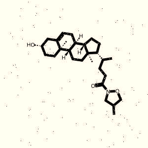 CC1CON(C(=O)CCC(C)[C@H]2CC[C@H]3[C@@H]4CC=C5C[C@@H](O)CC[C@]5(C)[C@H]4CC[C@]23C)C1